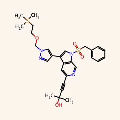 CC(C)(O)C#Cc1cc2c(-c3cnn(COCCS(C)(C)C)c3)cn(S(=O)(=O)Cc3ccccc3)c2cn1